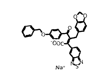 O=C([O-])C(=C(Cc1ccc2c(c1)OCO2)C(=O)c1ccc(OCc2ccccc2)cc1)c1ccc2nsnc2c1.[Na+]